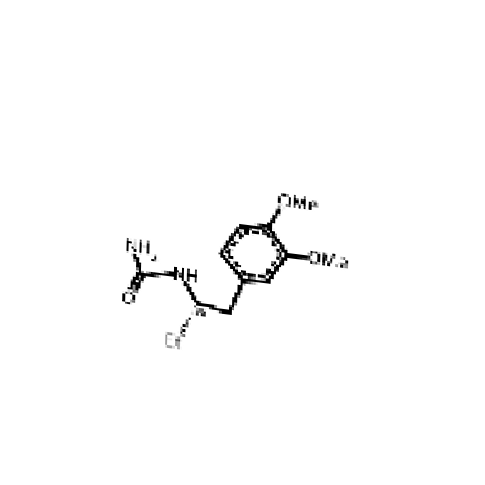 CC[C@@H](Cc1ccc(OC)c(OC)c1)NC(N)=O